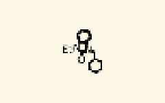 CCn1c(=O)n(CC2CCCCC2)c2ccccc21